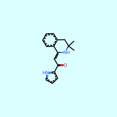 CC1(C)Cc2ccccc2/C(=C/C(=O)c2ccc[nH]2)N1